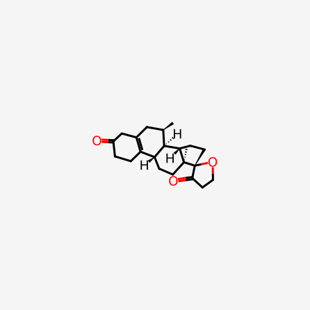 C[C@@H]1CC2=C(CCC(=O)C2)[C@H]2CC[C@@]3(C)[C@@H](CC[C@]34OCCC4=O)[C@H]12